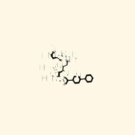 CC[C@H](CCc1nc2c(-c3ccc(-c4ccccc4)nc3)cnn2c(N)c1S(C)(=O)=O)N(C)C(=O)c1c[nH]c(=O)[nH]1